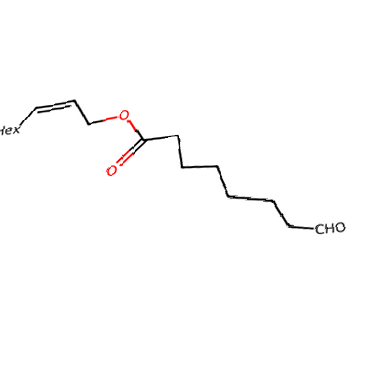 CCCCCC/C=C\COC(=O)CCCCCCC=O